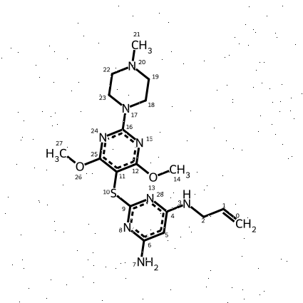 C=CCNc1cc(N)nc(Sc2c(OC)nc(N3CCN(C)CC3)nc2OC)n1